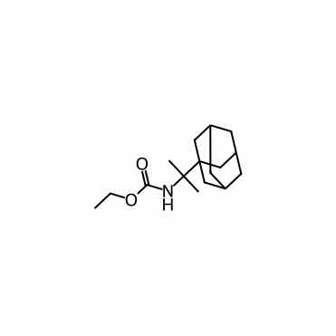 CCOC(=O)NC(C)(C)C12CC3CC(CC(C3)C1)C2